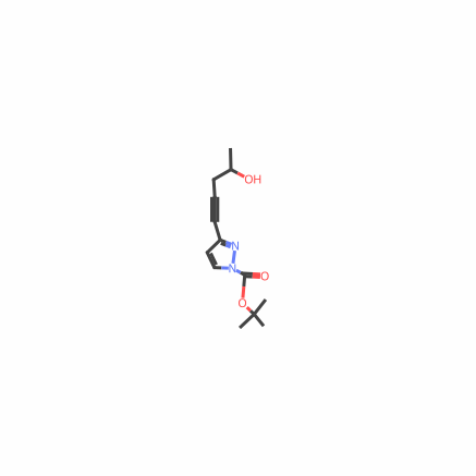 CC(O)CC#Cc1ccn(C(=O)OC(C)(C)C)n1